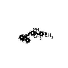 COc1ccc(CCN2[C@H](C)CN(CCCN3c4ccccc4Oc4ccccc43)C[C@@H]2C)cc1